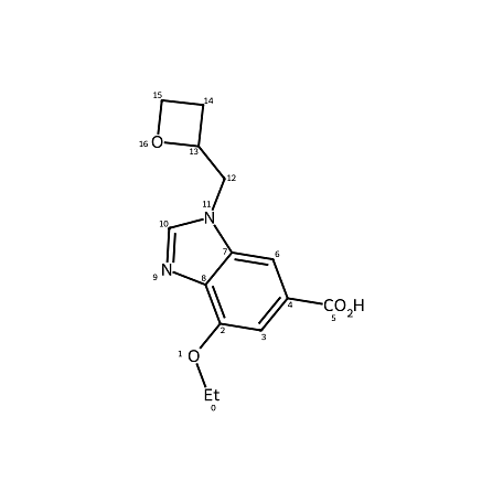 CCOc1cc(C(=O)O)cc2c1ncn2CC1CCO1